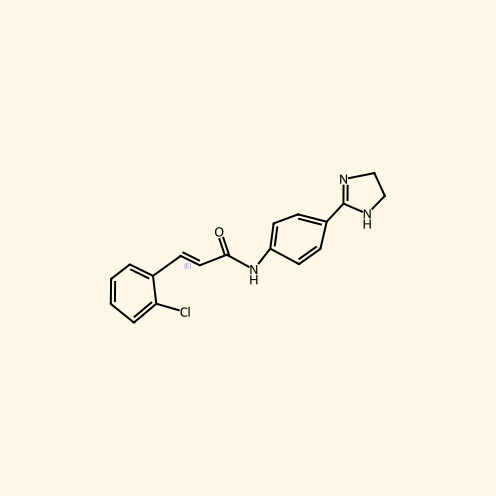 O=C(/C=C/c1ccccc1Cl)Nc1ccc(C2=NCCN2)cc1